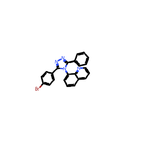 Brc1ccc(-c2nnc(-c3ccccc3)n2-c2cccc3cccnc23)cc1